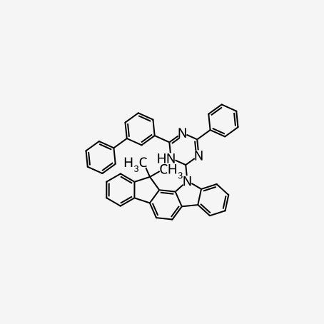 CC1(C)c2ccccc2-c2ccc3c4ccccc4n(C4N=C(c5ccccc5)N=C(c5cccc(-c6ccccc6)c5)N4)c3c21